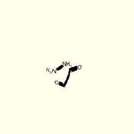 NN.O=CC=O